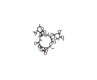 CC[C@H]1OC(=O)[C@H](C)[C@@H](O[C@H]2C[C@@](C)(OC)[C@@H](OC)[C@H](C)O2)[C@H](C)[C@@H](O[C@@H]2O[C@H](C)C[C@H](N(C)C)[C@H]2OC)[C@](C)(OC)C[C@@H](C)C(=O)[C@H](C)[C@H]2OC(=O)C2(C)[C@]1(C)O